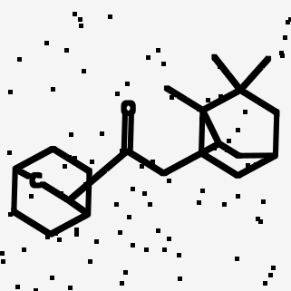 CC1(C)CC2CCC1(C)C(CC(=O)C1CC3CCC1CC3)C2